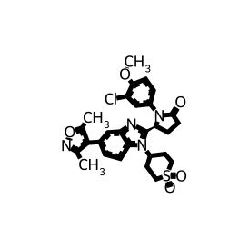 COc1ccc(N2C(=O)CC[C@H]2c2nc3cc(-c4c(C)noc4C)ccc3n2C2CCS(=O)(=O)CC2)cc1Cl